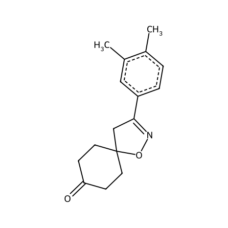 Cc1ccc(C2=NOC3(CCC(=O)CC3)C2)cc1C